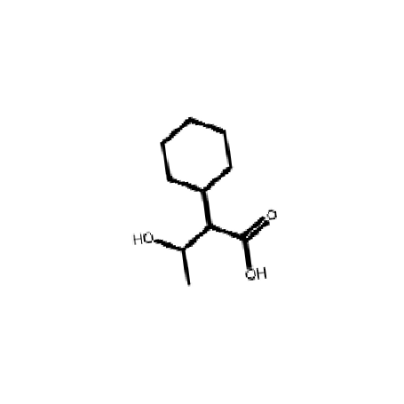 CC(O)C(C(=O)O)C1CCCCC1